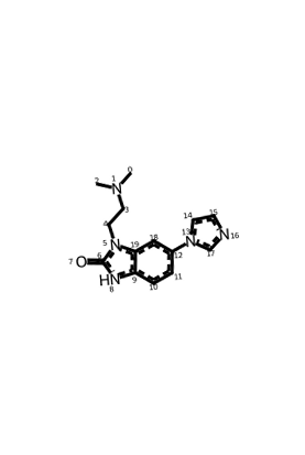 CN(C)CCn1c(=O)[nH]c2ccc(-n3ccnc3)cc21